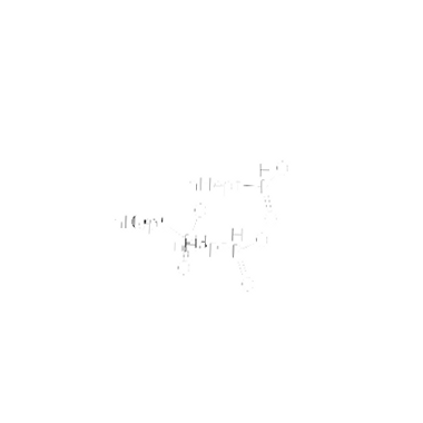 CCCCCCC[PH](=O)[O-].CCCCCCC[PH](=O)[O-].CCCCCCC[PH](=O)[O-].[Cr+3]